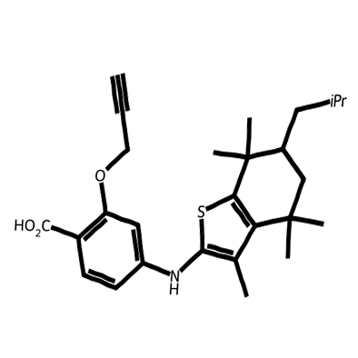 C#CCOc1cc(Nc2sc3c(c2C)C(C)(C)CC(CC(C)C)C3(C)C)ccc1C(=O)O